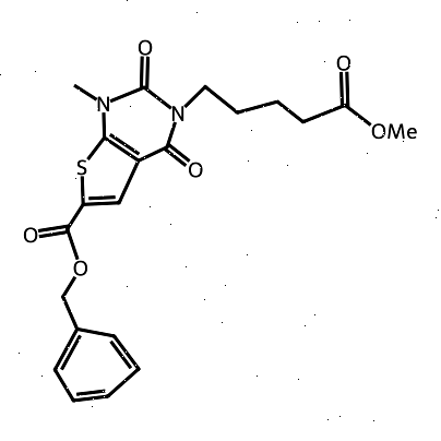 COC(=O)CCCCn1c(=O)c2cc(C(=O)OCc3ccccc3)sc2n(C)c1=O